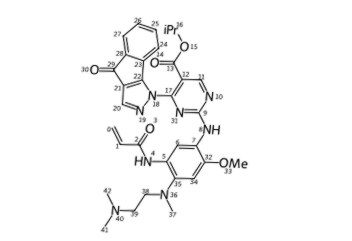 C=CC(=O)Nc1cc(Nc2ncc(C(=O)OC(C)C)c(-n3ncc4c3-c3ccccc3C4=O)n2)c(OC)cc1N(C)CCN(C)C